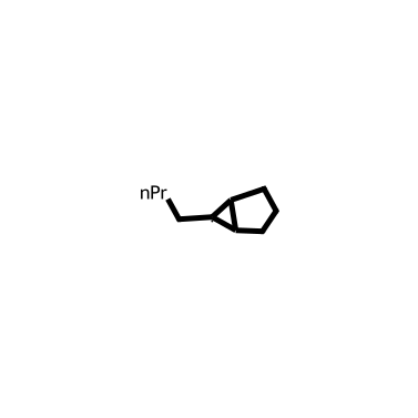 CCCC[C]1C2CCCC12